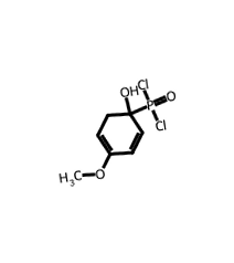 COC1=CCC(O)(P(=O)(Cl)Cl)C=C1